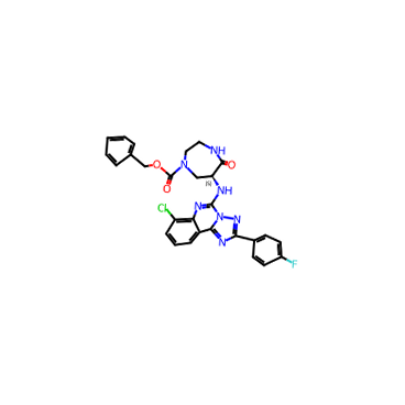 O=C1NCCN(C(=O)OCc2ccccc2)C[C@@H]1Nc1nc2c(Cl)cccc2c2nc(-c3ccc(F)cc3)nn12